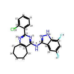 Fc1cc(F)c2[nH]nc(Nc3nc(-c4ccccc4Cl)nc4c3CCCCC4)c2c1